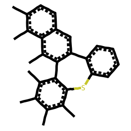 Cc1ccc2cc3c(c(C)c2c1C)-c1c(C)c(C)c(C)c(C)c1Sc1ccccc1-3